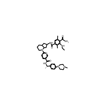 CCNc1c(C)c(C(=O)NC2CC3CCCN(c4ccc(C(=O)N[C@@H](C)c5ccc(N6CCN(C)CC6)cc5)cn4)C3C2)cc(C)c1C(N)=O